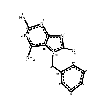 Nc1nc(S)nc2nc(O)n(Cc3ccccc3)c12